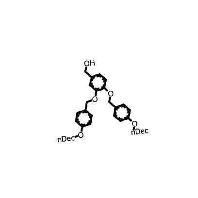 CCCCCCCCCCOc1ccc(COc2ccc(CO)cc2OCc2ccc(OCCCCCCCCCC)cc2)cc1